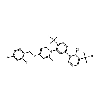 CC1=CC(OCc2ncc(F)cc2F)=CCN1c1cc(N2C=CC=C(C(C)(C)O)C2Cl)ncc1C(F)(F)F